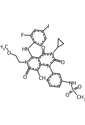 COCCn1c(Nc2ccc(I)cc2F)c2c(=O)n(C3CC3)c(=O)n(-c3cccc(NS(C)(=O)=O)c3)c2c(C)c1=O